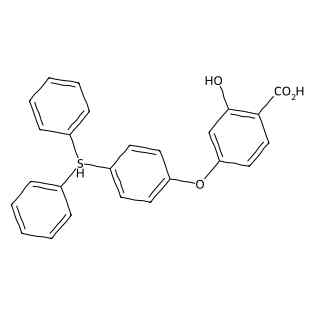 O=C(O)c1ccc(Oc2ccc([SH](c3ccccc3)c3ccccc3)cc2)cc1O